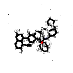 C#Cc1c(F)ccc2cc(O)cc(-c3ccc4c(N5C[C@H]6CC[C@@H](C5)N6C(=O)/C(F)=C/c5ccccn5)nc(OC[C@@H]5CCCN5C)nc4c3F)c12